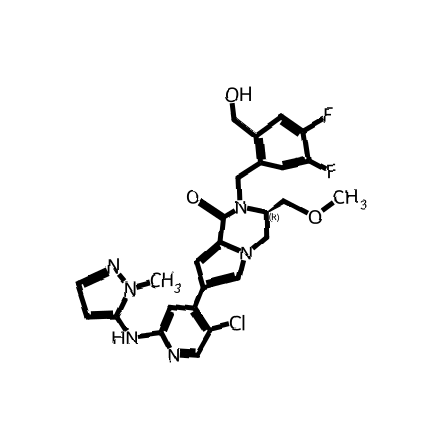 COC[C@H]1Cn2cc(-c3cc(Nc4ccnn4C)ncc3Cl)cc2C(=O)N1Cc1cc(F)c(F)cc1CO